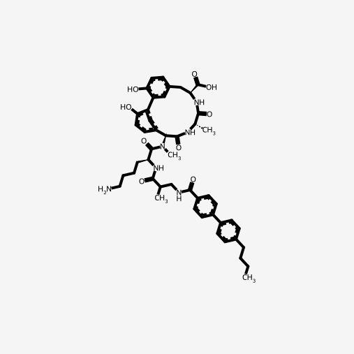 CCCCc1ccc(-c2ccc(C(=O)NCC(C)C(=O)N[C@@H](CCCCN)C(=O)N(C)[C@@H]3C(=O)N[C@@H](C)C(=O)N[C@H](C(=O)O)Cc4ccc(O)c(c4)-c4cc3ccc4O)cc2)cc1